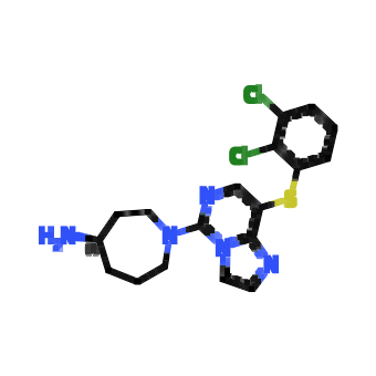 N[C@@H]1CCCN(c2ncc(Sc3cccc(Cl)c3Cl)c3nccn23)CC1